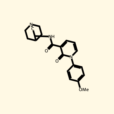 COc1ccc(-n2cccc(C(=O)NC3CN4CCC3CC4)c2=O)cc1